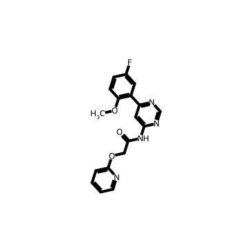 COc1ccc(F)cc1-c1cc(NC(=O)COc2ccccn2)ncn1